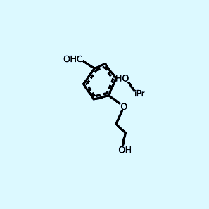 CC(C)O.O=Cc1ccc(OCCO)cc1